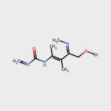 C=NC(=O)N/C(C)=C(C)/C(COCC)=N\C